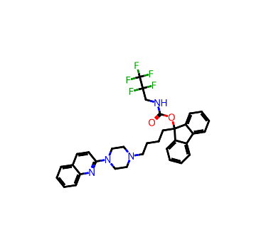 O=C(NCC(F)(F)C(F)(F)F)OC1(CCCCN2CCN(c3ccc4ccccc4n3)CC2)c2ccccc2-c2ccccc21